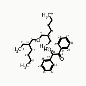 CCCCC(CC)COCC(CC)CCCC.O=C(c1ccccc1)C(O)c1ccccc1